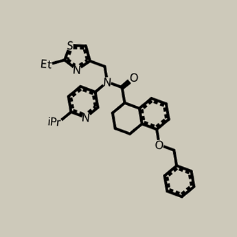 CCc1nc(CN(C(=O)C2CCCc3c(OCc4ccccc4)cccc32)c2ccc(C(C)C)nc2)cs1